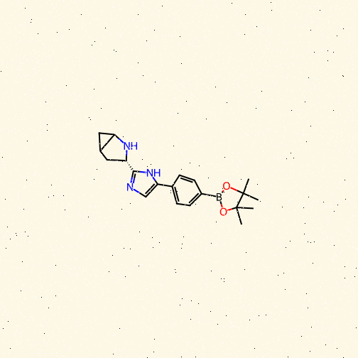 CC1(C)OB(c2ccc(-c3cnc([C@@H]4CC5CC5N4)[nH]3)cc2)OC1(C)C